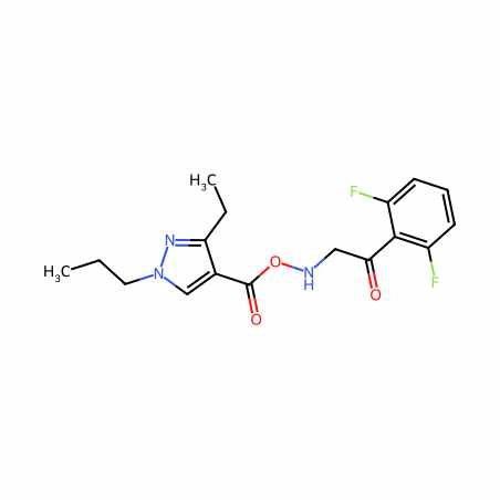 CCCn1cc(C(=O)ONCC(=O)c2c(F)cccc2F)c(CC)n1